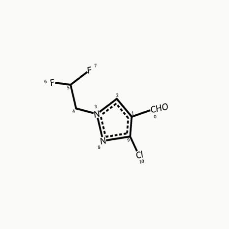 O=Cc1cn(CC(F)F)nc1Cl